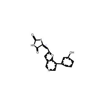 O=C1NC(=O)/C(=C\c2cc3cncc(-c4cccc(O)c4)c3o2)S1